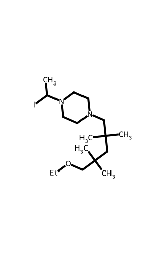 CCOCC(C)(C)CC(C)(C)CN1CCN(C(C)I)CC1